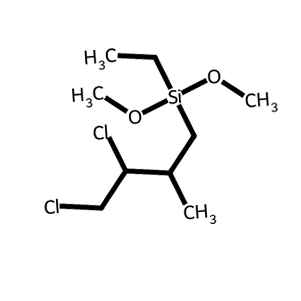 CC[Si](CC(C)C(Cl)CCl)(OC)OC